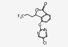 O=C1OC(CCC(F)(F)F)c2c(Oc3ncc(Cl)cn3)cccc21